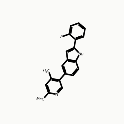 COc1cc(C)c(-c2ccc3[nH]c(-c4ccccc4F)cc3c2)cn1